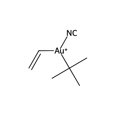 [C-]#[N+][Au+]([CH]=C)[C](C)(C)C